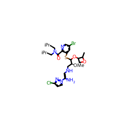 CO[C@@H](CN/C=C(\N)n1ccc(Cl)n1)C(OC1COC1C)Sc1cc(Br)cnc1C(=O)N(CC(C)C)CC(C)C